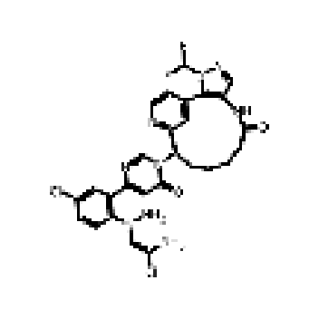 N/C(Cl)=C\N(N)c1ccc(Cl)cc1-c1cc(=O)n(C2CCCCC(=O)Nc3cnn(C(F)F)c3-c3ccnc2c3)cn1